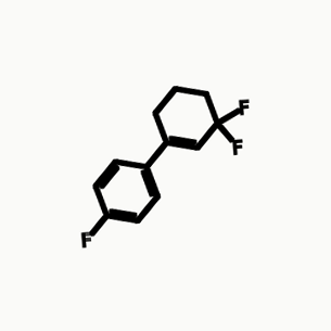 Fc1ccc(C2=CC(F)(F)CCC2)cc1